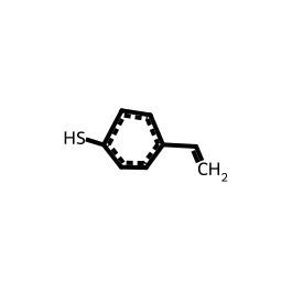 C=Cc1ccc(S)cc1